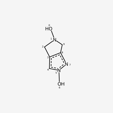 ON1Cc2cn(O)nc2C1